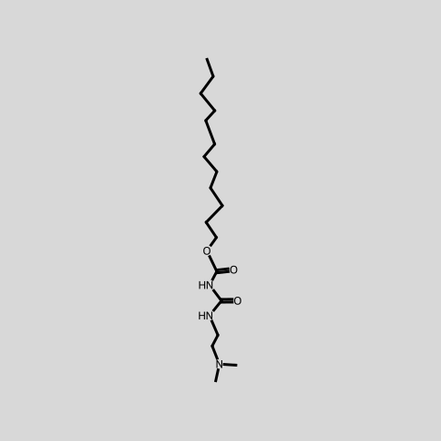 CCCCCCCCCCCCOC(=O)NC(=O)NCCN(C)C